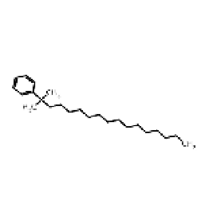 CCCCCCCCCCCCCCCC(C)(C)c1ccccc1